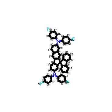 Fc1ccc(N(c2ccc(F)cc2)c2ccc3c(c2)C2(c4ccccc4-c4ccccc42)c2cc4cc(N(c5ccc(F)cc5)c5ccc(F)cc5)ccc4cc2-3)cc1